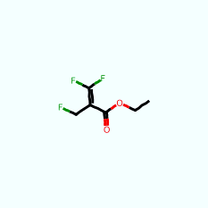 CCOC(=O)C(CF)=C(F)F